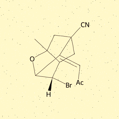 CC(=O)/C=C1\C2OC3(C)CC1(C#N)CC3[C@@H]2Br